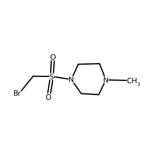 CN1CCN(S(=O)(=O)CBr)CC1